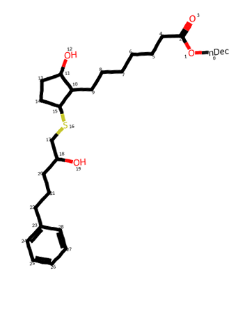 CCCCCCCCCCOC(=O)CCCCCCC1C(O)CCC1SCC(O)CCCc1ccccc1